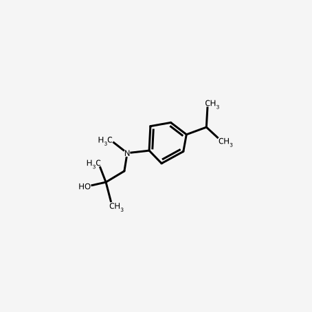 CC(C)c1ccc(N(C)CC(C)(C)O)cc1